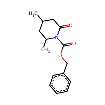 CC1CC(=O)N(C(=O)OCc2ccccc2)C(C)C1